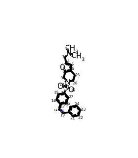 CN(C)Cc1cc2c(o1)CN(S(=O)(=O)c1ccc(/C=C\c3ccccc3)cc1)CC2